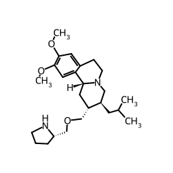 COc1cc2c(cc1OC)[C@H]1C[C@@H](COC[C@@H]3CCCN3)[C@H](CC(C)C)CN1CC2